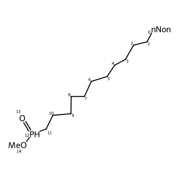 CCCCCCCCCCCCCCCCCCCC[PH](=O)OC